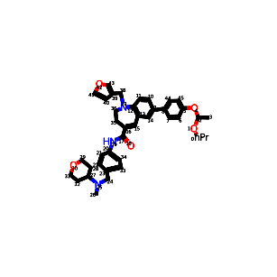 CCCOC(C)Oc1ccc(-c2ccc3c(c2)C=C(C(=O)Nc2ccc(CN(C)C4CCOCC4)cc2)CCN3Cc2ccoc2)cc1